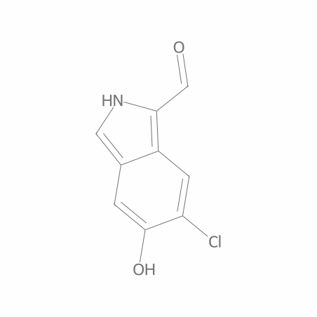 O=Cc1[nH]cc2cc(O)c(Cl)cc12